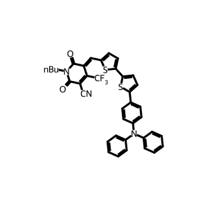 CCCCN1C(=O)C(=Cc2ccc(-c3ccc(-c4ccc(N(c5ccccc5)c5ccccc5)cc4)s3)s2)C(C(F)(F)F)=C(C#N)C1=O